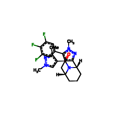 COc1nn(C)cc1C(=O)N1[C@@H]2CCC[C@H]1c1nn(C)c(-c3cc(F)c(F)c(F)c3)c1C2